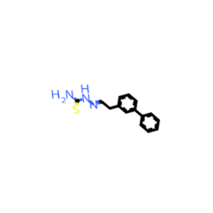 NC(=S)NN=CCc1cccc(-c2ccccc2)c1